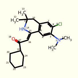 CN(C)c1cc2c(cc1Cl)CC(C)(C)N/C2=C\C(=O)C1CCCCC1